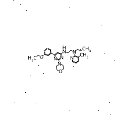 CCCN(CCNc1cc(-c2cccc(OCC)c2)nc(N2CCOCC2)n1)c1ncccc1C